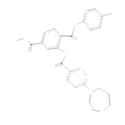 COC(=O)c1ccc(C(=O)Nc2ccc(Cl)cn2)c(NC(=O)c2ccc(N3CCCNCC3)nn2)c1